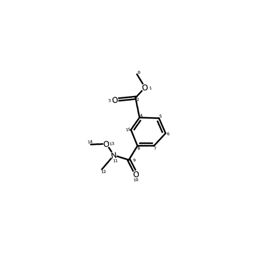 COC(=O)c1cccc(C(=O)N(C)OC)c1